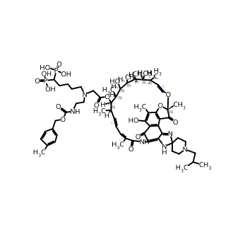 C/C1=C/C=C/[C@H](C)[C@H](OC(=O)CN(CCCCC(P(=O)(O)O)P(=O)(O)O)CCNC(=O)OCc2ccc(C)cc2)[C@@H](C)[C@@H](O)[C@@H](C)[C@H](C)[C@H](C)[C@@H](C)/C=C/O[C@@]2(C)Oc3c(C)c(O)c4c(c3C2=O)C2=NC3(CCN(CC(C)C)CC3)NC2=C(NC1=O)C4=O